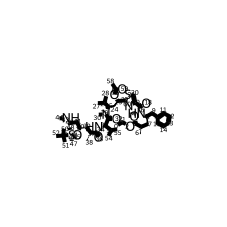 CCOC(=O)[C@@H](C)C[C@H](Cc1ccccc1)NC(=O)c1csc([C@@H](C[C@H](C(C)C)N(C)C(=O)[C@@H](NC(=O)[C@H](C)C[C@@H](CCNC)O[Si](C)(C)C(C)(C)C)C(C)C)OC(C)=O)n1